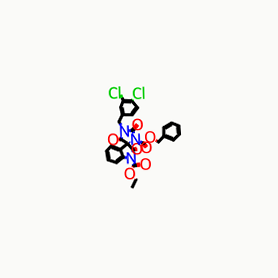 CCOC(=O)N1C(=O)[C@]2(C(=O)N(Cc3ccc(Cl)c(Cl)c3)C(=O)N2C(=O)OCc2ccccc2)c2ccccc21